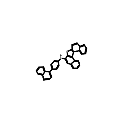 c1ccc2c(-c3ccc(Nc4cc5ccccc5c5c4sc4ccc6ccccc6c45)cc3)cccc2c1